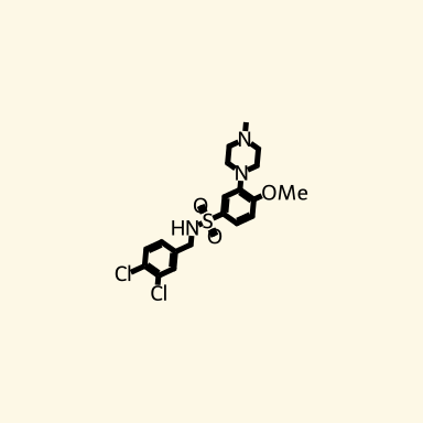 COc1ccc(S(=O)(=O)NCc2ccc(Cl)c(Cl)c2)cc1N1CCN(C)CC1